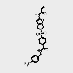 C=CC(=O)Nc1cc2c(o1)CN(S(=O)(=O)c1ccc(C(=O)NCc3ccc(C(F)(F)F)cc3)cc1)C2